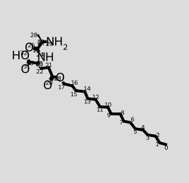 CCCCCCCCCCCCCCCCCCOC(=O)CC[C@@H](NC(=O)[C@@H](C)N)C(=O)O